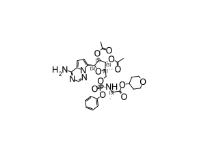 CC(=O)O[C@H]1[C@H](c2ccc3c(N)ncnn23)O[C@](C)(CO[P@@](=O)(N[C@@H](C)C(=O)OC2CCOCC2)Oc2ccccc2)[C@H]1OC(C)=O